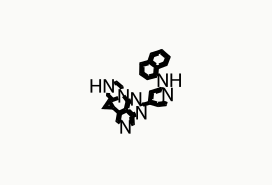 c1ccc2c(Nc3cc(-c4nc(N5CCNCC5)c5c(C6CC6)cncc5n4)ccn3)cccc2c1